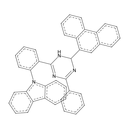 c1ccc(C2=NC(c3cc4ccccc4c4ccccc34)NC(c3ccccc3-n3c4ccccc4c4ccccc43)=N2)cc1